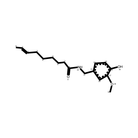 C/C=C/CCCCCC(=O)NCc1ccc(O)c(OC)c1